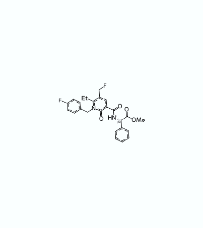 CCc1c(CF)cc(C(=O)N[C@H](C(=O)OC)c2ccccc2)c(=O)n1Cc1ccc(F)cc1